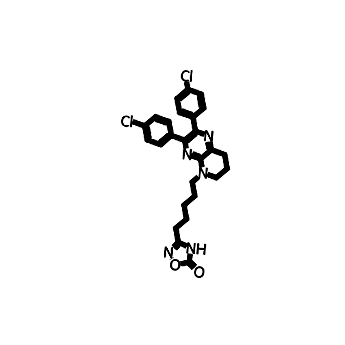 O=c1[nH]c(CCCCCN2CCCc3nc(-c4ccc(Cl)cc4)c(-c4ccc(Cl)cc4)nc32)no1